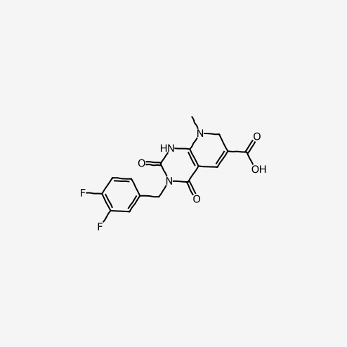 CN1CC(C(=O)O)=Cc2c1[nH]c(=O)n(Cc1ccc(F)c(F)c1)c2=O